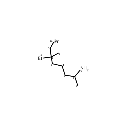 CCC(C)(CCCC(C)N)CC(C)C